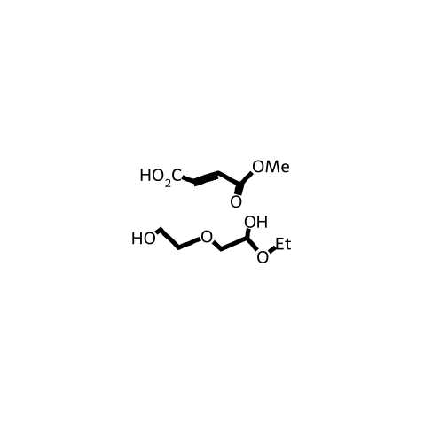 CCOC(O)COCCO.COC(=O)C=CC(=O)O